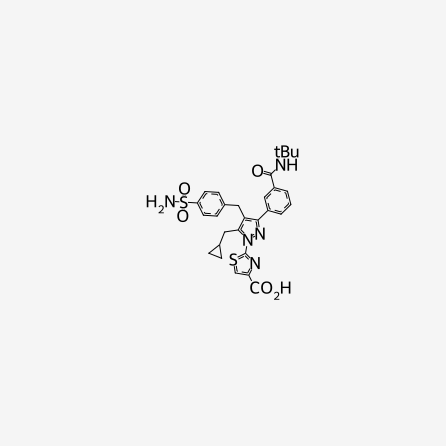 CC(C)(C)NC(=O)c1cccc(-c2nn(-c3nc(C(=O)O)cs3)c(CC3CC3)c2Cc2ccc(S(N)(=O)=O)cc2)c1